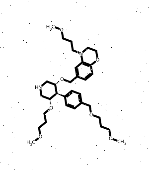 COCCCOCc1ccc([C@@H]2[C@@H](OCc3ccc4c(c3)N(CCCOC)CCO4)CNC[C@H]2OCCCOC)cc1